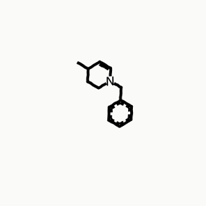 CC1C=CN(Cc2ccccc2)CC1